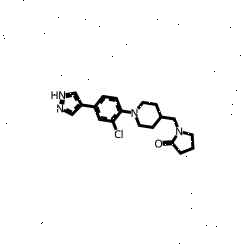 O=C1CCCN1CC1CCN(c2ccc(-c3cn[nH]c3)cc2Cl)CC1